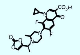 CC1CN(c2c(F)cc3c(=O)c(C(=O)O)cn(C4CC4)c3c2F)CCN1[C@@H](C)c1coc(=O)o1